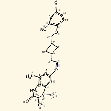 Cc1nc(/N=C\C[C@H]2C[C@@H](COc3ccc(F)cc3C#N)C2)nc2c1NC(=O)[C@H](C)N2C